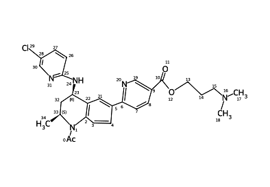 CC(=O)N1c2ccc(-c3ccc(C(=O)OCCCN(C)C)cn3)cc2[C@H](Nc2ccc(Cl)cn2)C[C@@H]1C